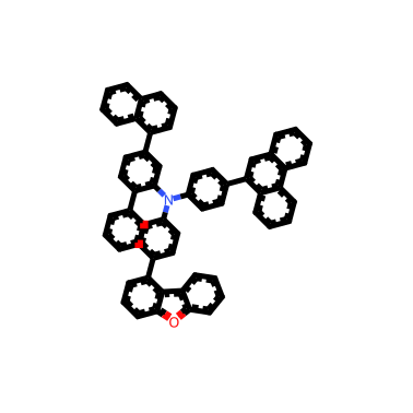 c1ccc(-c2ccc(-c3cccc4ccccc34)cc2N(c2ccc(-c3cc4ccccc4c4ccccc34)cc2)c2ccc(-c3cccc4oc5ccccc5c34)cc2)cc1